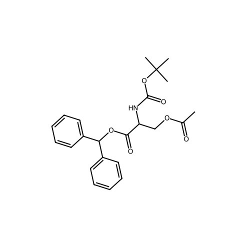 CC(=O)OCC(NC(=O)OC(C)(C)C)C(=O)OC(c1ccccc1)c1ccccc1